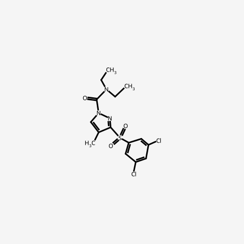 CCN(CC)C(=O)n1cc(C)c(S(=O)(=O)c2cc(Cl)cc(Cl)c2)n1